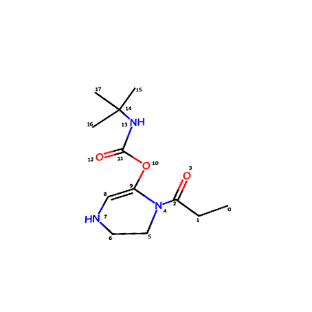 CCC(=O)N1CCNC=C1OC(=O)NC(C)(C)C